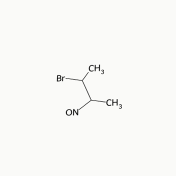 CC(Br)C(C)N=O